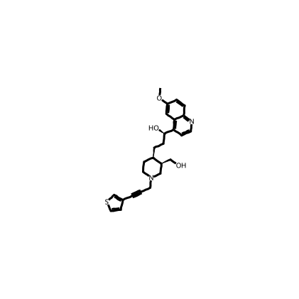 COc1ccc2nccc([C@H](O)CC[C@@H]3CCN(CC#Cc4ccsc4)C[C@@H]3CO)c2c1